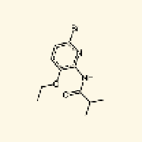 CCOc1ccc(Br)nc1NC(=O)C(C)C